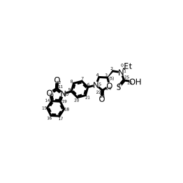 CCN(C[C@@H]1CN(c2ccc(-n3c(=O)oc4ccccc43)cc2)C(=O)O1)C(O)=S